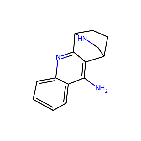 Nc1c2c(nc3ccccc13)C1CCC2CN1